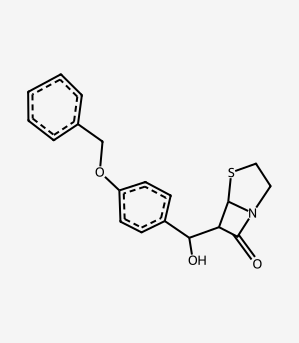 O=C1C(C(O)c2ccc(OCc3ccccc3)cc2)C2SCCN12